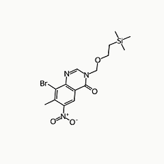 Cc1c([N+](=O)[O-])cc2c(=O)n(COCC[Si](C)(C)C)cnc2c1Br